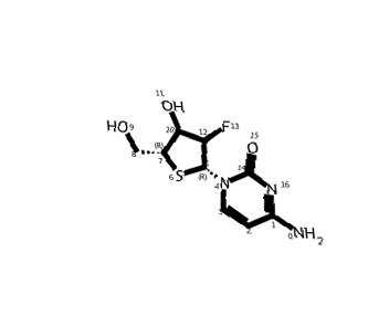 Nc1ccn([C@@H]2S[C@H](CO)C(O)C2F)c(=O)n1